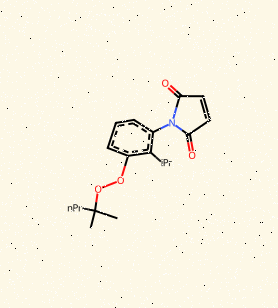 CCCC(C)(C)OOc1cccc(N2C(=O)C=CC2=O)c1C(C)C